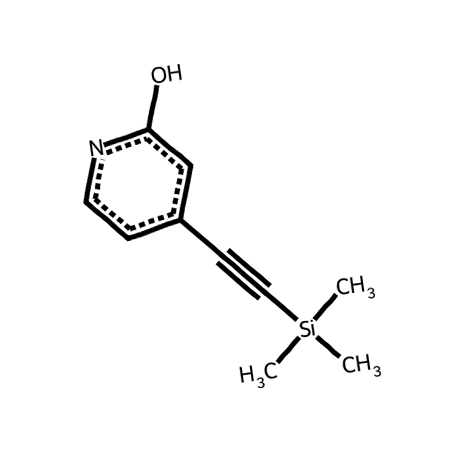 C[Si](C)(C)C#Cc1ccnc(O)c1